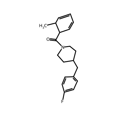 CC1C=CC=CC1C(=O)N1CCC(Cc2ccc(F)cc2)CC1